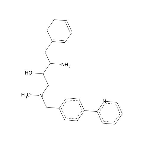 CN(Cc1ccc(-c2ccccn2)cc1)CC(O)C(N)CC1=CC=CCC1